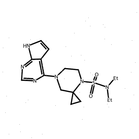 CCN(CC)S(=O)(=O)N1CCN(c2ncnc3[nH]ccc23)CC12CC2